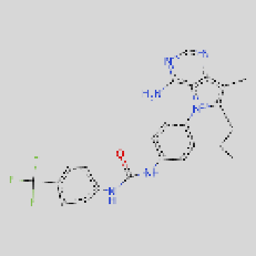 CCCc1c(C)c2ncnc(N)c2n1-c1ccc(NC(=O)Nc2ccc(C(F)(F)F)cc2)cc1